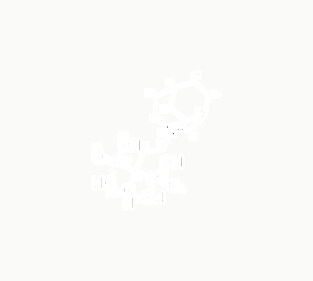 O=P(O)(O)C(O)(CCN1CCC2CCC(CC2)C1)P(=O)(O)O